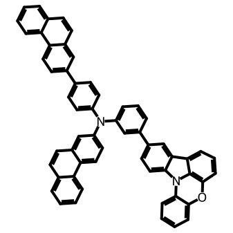 c1cc(-c2ccc3c(c2)c2cccc4c2n3-c2ccccc2O4)cc(N(c2ccc(-c3ccc4c(ccc5ccccc54)c3)cc2)c2ccc3c(ccc4ccccc43)c2)c1